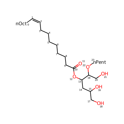 CCCCCCCC/C=C\CCCCCCCC(=O)OC(CC(O)CO)C(CO)OCCCCC